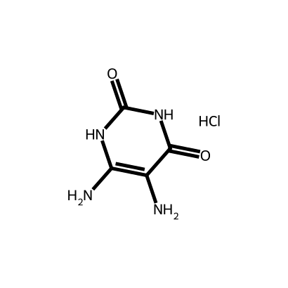 Cl.Nc1[nH]c(=O)[nH]c(=O)c1N